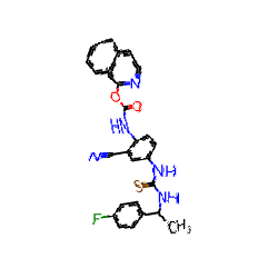 CC(NC(=S)Nc1ccc(NC(=O)Oc2nccc3ccccc23)c(C#N)c1)c1ccc(F)cc1